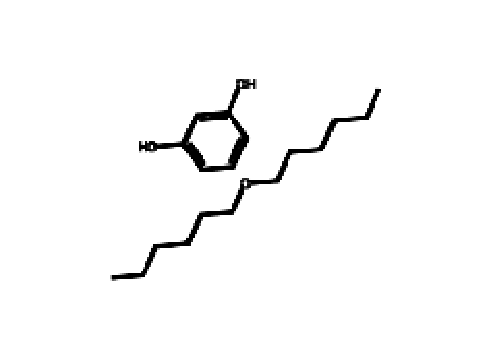 CCCCCCOCCCCCC.Oc1cccc(O)c1